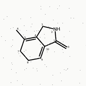 C=C1NCC2=C(C)CCC=C12